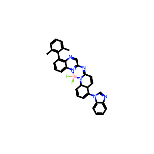 Cc1cccc(C)c1-c1cccc2c1ncc1[n+]2[B-](F)(F)N2C(=N1)C=CC1C(n3cnc4ccccc43)=CC=CC12